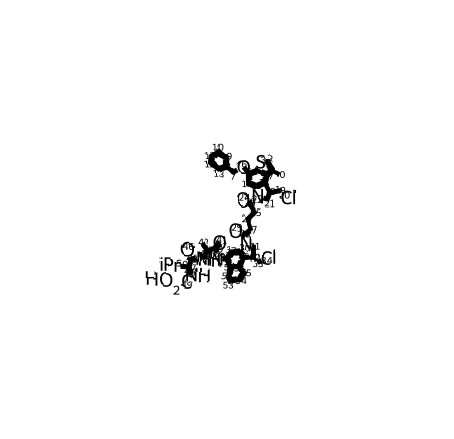 Cc1csc2c(OCc3ccccc3)cc3c(c12)C(CCl)CN3C(=O)CCCC(=O)N1C[C@@H](CCl)c2c1cc(NC(=O)C(C)NC(=O)C(NC(=O)O)C(C)C)c1ccccc21